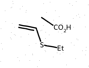 C=CSCC.CC(=O)O